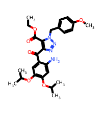 CCOC(=O)c1c(C(=O)c2cc(OC(C)C)c(OC(C)C)cc2N)nnn1Cc1ccc(OC)cc1